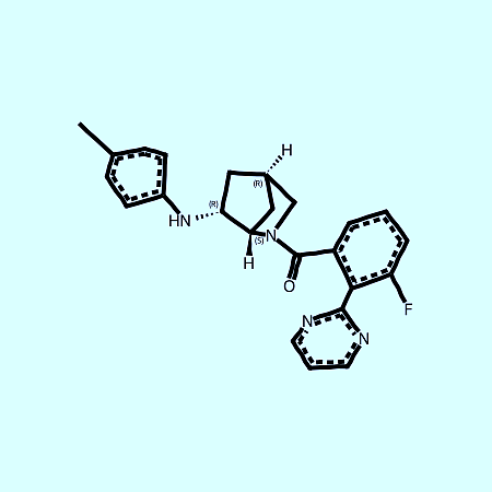 Cc1ccc(N[C@@H]2C[C@@H]3C[C@@H]2N(C(=O)c2cccc(F)c2-c2ncccn2)C3)cc1